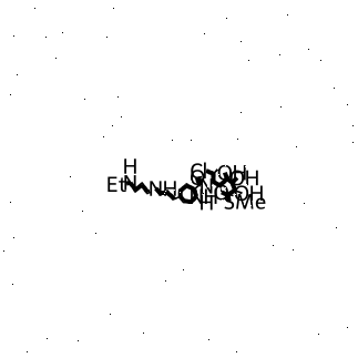 CCNCCCNCCC[C@@H]1CCN[C@H](C(=O)N[C@H]([C@H](C)Cl)[C@H]2OC(SC)[C@H](O)C(O)C2O)CC1